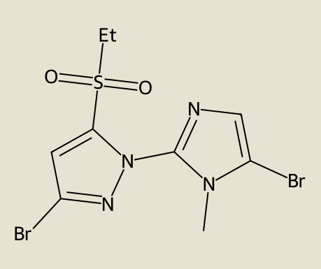 CCS(=O)(=O)c1cc(Br)nn1-c1ncc(Br)n1C